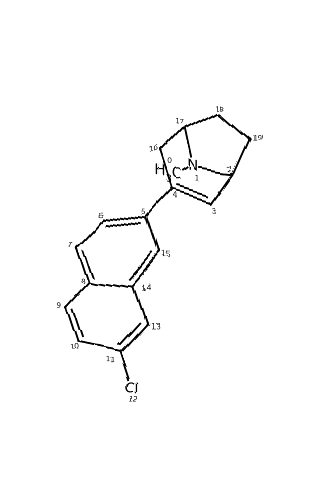 CN1C2C=C(c3ccc4ccc(Cl)cc4c3)CC1CC2